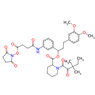 CCC(C)(C)C(=O)C(=O)N1CCCCC1C(=O)OC(CCc1ccc(OC)c(OC)c1)c1cccc(NC(=O)CCC(=O)ON2C(=O)CCC2=O)c1